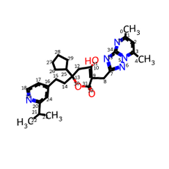 Cc1cc(C)n2nc(CC3=C(O)CC(CCc4ccnc(C(C)C)c4)(C4CCCC4)OC3=O)nc2n1